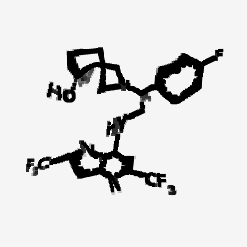 O[C@@H]1CCC12CN([C@@H](CNc1cc(C(F)(F)F)nc3cc(C(F)(F)F)nn13)c1ccc(F)cc1)C2